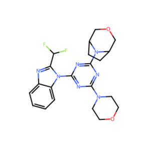 FC(F)c1nc2ccccc2n1-c1nc(N2CCOCC2)nc(N2C3CCC2COC3)n1